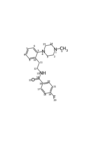 CN1CCN(c2ccccc2CCNC(=O)c2ccc(F)cc2)CC1